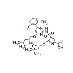 Cc1cccc(C)c1-c1cc(OC[C@H](N)CC(C)C)nc(NS(=O)(=O)c2cc(C(=O)O)nn2COCCS(C)(C)C)n1